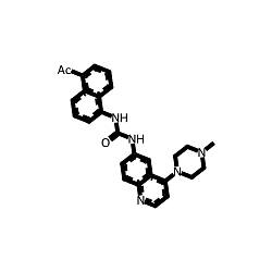 CC(=O)c1cccc2c(NC(=O)Nc3ccc4nccc(N5CCN(C)CC5)c4c3)cccc12